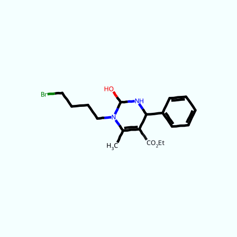 CCOC(=O)C1=C(C)N(CCCCBr)C(O)NC1c1ccccc1